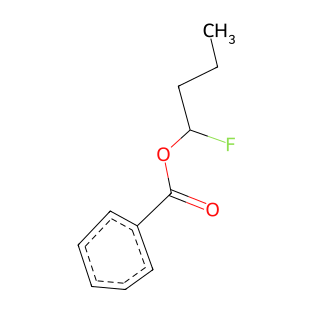 CCCC(F)OC(=O)c1ccccc1